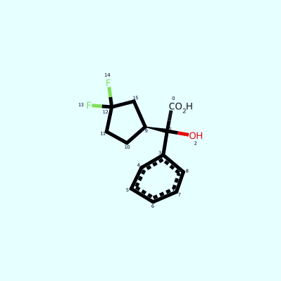 O=C(O)C(O)(c1ccccc1)[C@H]1CCC(F)(F)C1